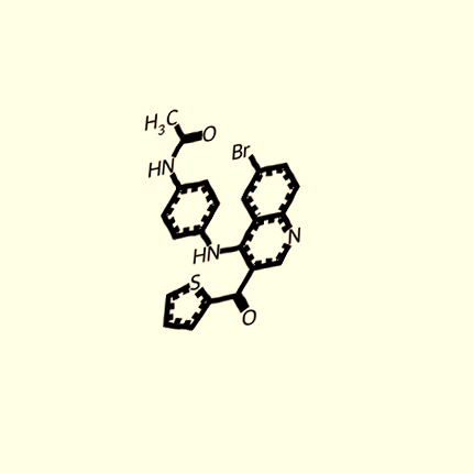 CC(=O)Nc1ccc(Nc2c(C(=O)c3cccs3)cnc3ccc(Br)cc23)cc1